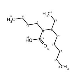 CCCCCC(CC)C(CCCC)C(=O)O